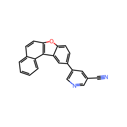 N#Cc1cncc(-c2ccc3oc4ccc5ccccc5c4c3c2)c1